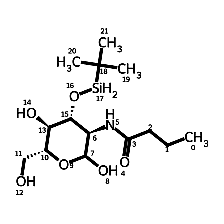 CCCC(=O)N[C@H]1C(O)O[C@H](CO)[C@@H](O)[C@@H]1O[SiH2]C(C)(C)C